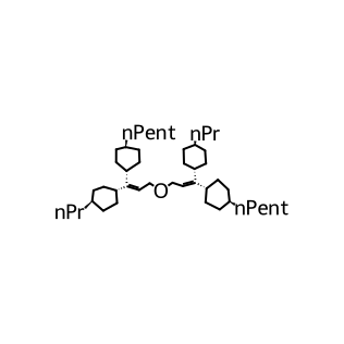 CCCCC[C@H]1CC[C@H](C(=CCOCC=C([C@H]2CC[C@H](CCC)CC2)[C@H]2CC[C@H](CCCCC)CC2)[C@H]2CC[C@H](CCC)CC2)CC1